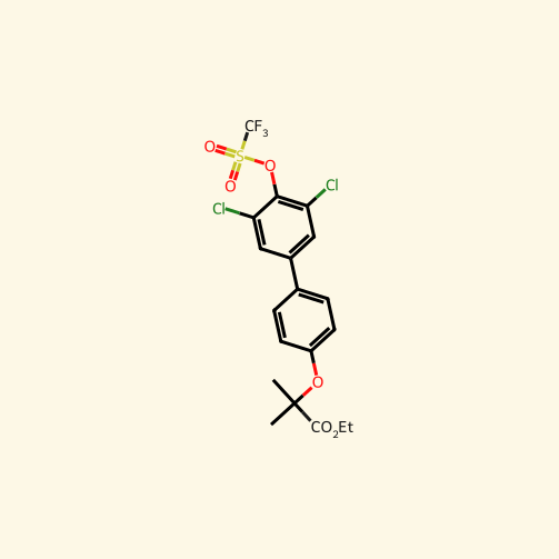 CCOC(=O)C(C)(C)Oc1ccc(-c2cc(Cl)c(OS(=O)(=O)C(F)(F)F)c(Cl)c2)cc1